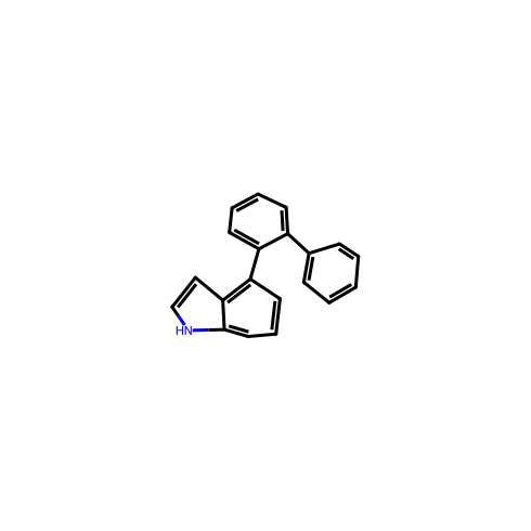 c1ccc(-c2ccccc2-c2cccc3[nH]ccc23)cc1